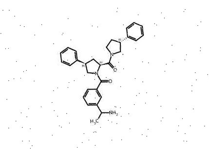 CC(N)c1cccc(C(=O)N2C[C@@H](c3ccccc3)C[C@H]2C(=O)N2CC[C@H](c3ccccc3)C2)c1